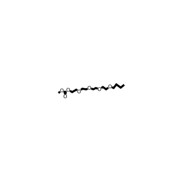 CCCCOCCOCCOCCOCCOC(=O)OC